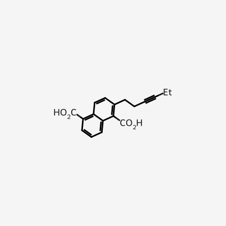 CCC#CCCc1ccc2c(C(=O)O)cccc2c1C(=O)O